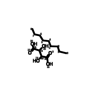 CCCCCCCCC.O=C(O)C(O)C(O)C(=O)O